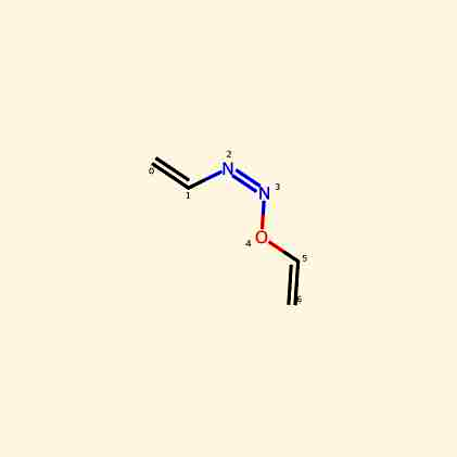 C=C/N=N\OC=C